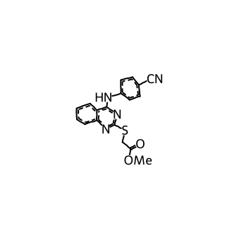 COC(=O)CSc1nc(Nc2ccc(C#N)cc2)c2ccccc2n1